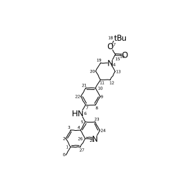 Cc1ccc2c(Nc3ccc(C4CCN(C(=O)OC(C)(C)C)CC4)cc3)ccnc2c1